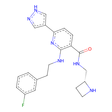 O=C(NC[C@H]1CCN1)c1ccc(-c2cn[nH]c2)nc1NCCc1cccc(F)c1